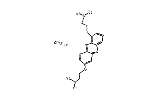 CCN(CC)CCOc1ccc2nc3c(OCCN(CC)CC)cccc3cc2c1.[Cl-].[Cl-].[Cl-].[Cr+3]